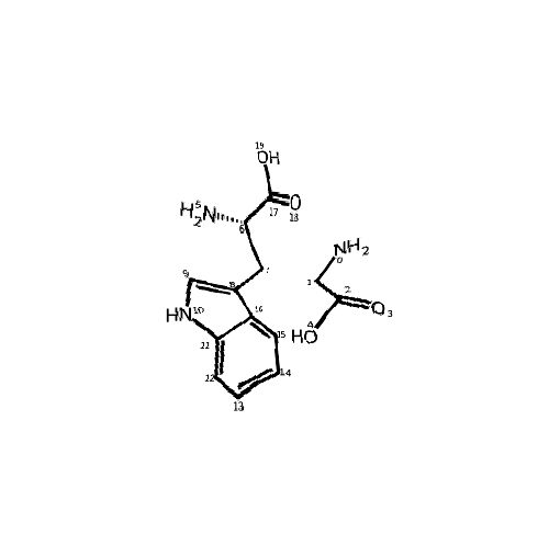 NCC(=O)O.N[C@@H](Cc1c[nH]c2ccccc12)C(=O)O